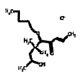 CC=CC(=O)C(OCCCCC)[N+](C)(C)CC(C)O.[Cl-]